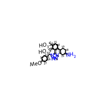 COc1ccc(Cn2nnnc2-c2c(C3CCC(N)CC3)ccc(S(=O)(=O)O)c2S(=O)(=O)O)cc1